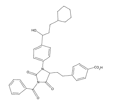 O=C(O)c1ccc(CCC2C(=O)N(C(=O)c3ccccc3)C(=O)N2c2ccc(C(O)CCC3CCCCC3)cc2)cc1